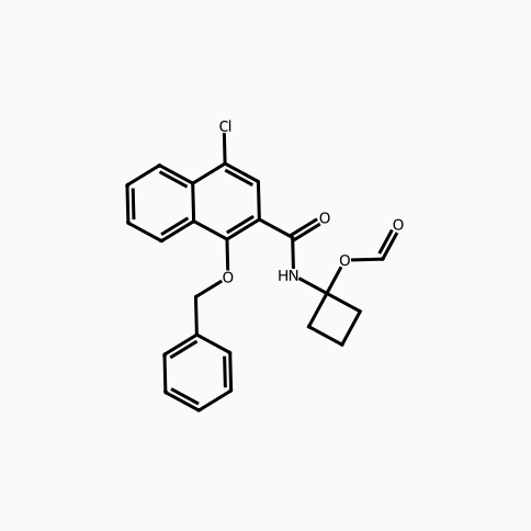 O=COC1(NC(=O)c2cc(Cl)c3ccccc3c2OCc2ccccc2)CCC1